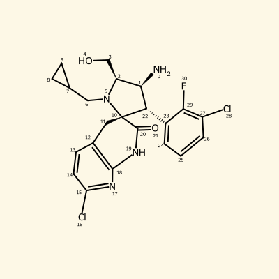 N[C@@H]1[C@H](CO)N(CC2CC2)[C@]2(Cc3ccc(Cl)nc3NC2=O)[C@H]1c1cccc(Cl)c1F